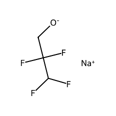 [Na+].[O-]CC(F)(F)C(F)F